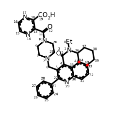 CCN(C(=O)c1c(CN2CCN(C(=O)c3nccnc3C(=O)O)CC2)c(-c2ccccc2)nc2ccccc12)C1CCCCC1